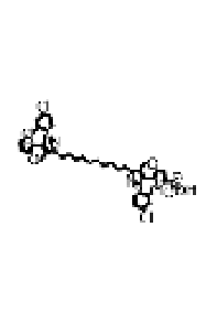 O=S(=O)(O)c1cc2c(s1)-c1c(c(/C=C/CCCCCC/C=C/c3nn(-c4ccc(Cl)cc4Cl)c4c3COc3ccsc3-4)nn1-c1ccc(Cl)cc1Cl)CO2